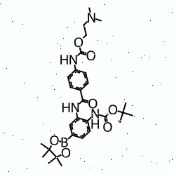 CN(C)CCOC(=O)Nc1ccc(C(=O)Nc2cc(B3OC(C)(C)C(C)(C)O3)ccc2NC(=O)OC(C)(C)C)cc1